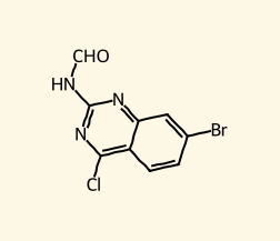 O=CNc1nc(Cl)c2ccc(Br)cc2n1